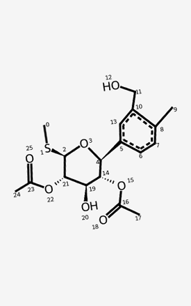 CS[C@H]1O[C@@H](c2ccc(C)c(CO)c2)[C@H](OC(C)=O)[C@@H](O)[C@@H]1OC(C)=O